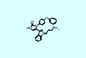 NCCCn1cc(-c2c[nH]c(=O)n2-c2ccc(Oc3ccccc3)cc2)c2ccccc21